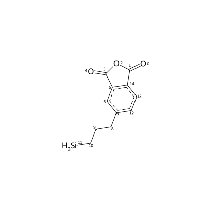 O=C1OC(=O)c2cc(CCC[SiH3])ccc21